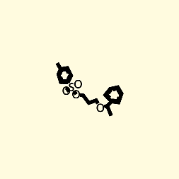 Cc1ccc(S(=O)(=O)OCCCOC(C)c2ccccc2)cc1